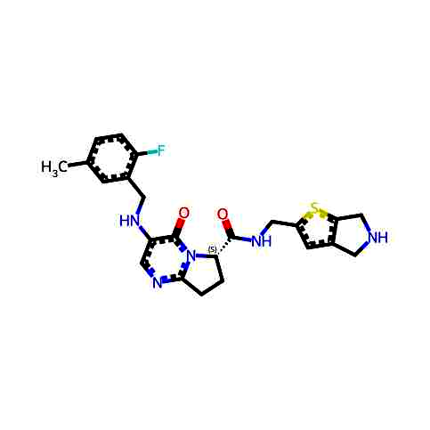 Cc1ccc(F)c(CNc2cnc3n(c2=O)[C@H](C(=O)NCc2cc4c(s2)CNC4)CC3)c1